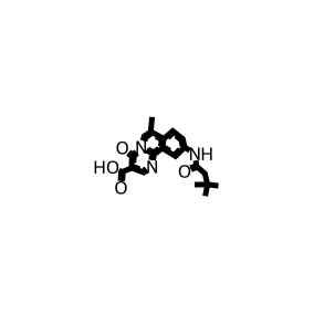 Cc1cn2c(=O)c(C(=O)O)cnc2c2cc(NC(=O)CC(C)(C)C)ccc12